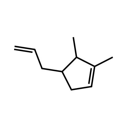 C=CCC1CC=C(C)C1C